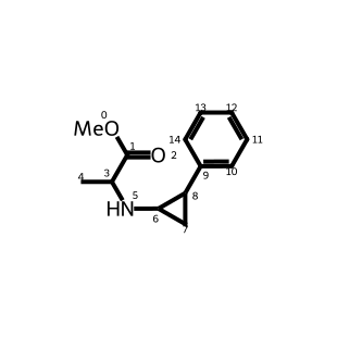 COC(=O)C(C)NC1CC1c1ccccc1